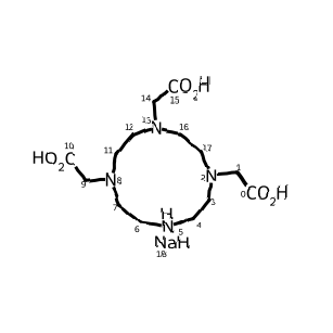 O=C(O)CN1CCNCCN(CC(=O)O)CCN(CC(=O)O)CC1.[NaH]